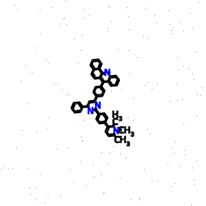 CC1=CC=C(c2ccc(-c3nc(C4=CC=C(c5c6ccccc6nc6c5ccc5ccccc56)CC4)cc(-c4ccccc4)n3)cc2)C(C)N1C